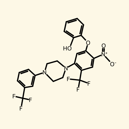 O=[N+]([O-])c1cc(C(F)(F)F)c(N2CCN(c3cccc(C(F)(F)F)c3)CC2)cc1Oc1ccccc1O